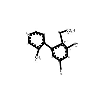 Cc1cnccc1-c1cc(F)cc(C(C)C)c1CC(=O)O